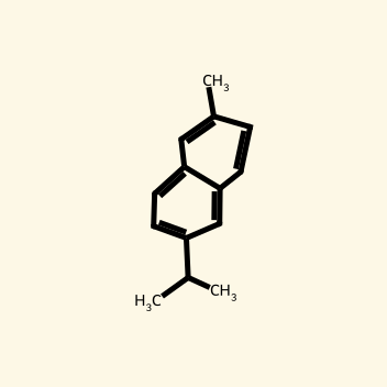 Cc1ccc2cc(C(C)C)ccc2c1